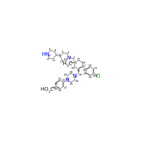 C[C@@]1(CN2CCC(C3CCNCC3)CC2)CCC(c2ccc(Cl)cc2)=C(CN2CCN(c3ccc(C(=O)O)cc3)CC2)C1